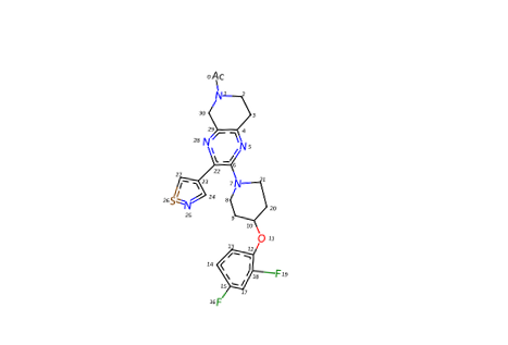 CC(=O)N1CCc2nc(N3CCC(Oc4ccc(F)cc4F)CC3)c(-c3cnsc3)nc2C1